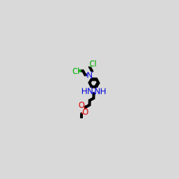 CCOC(=O)CCCC1NC2=CC=C(N(CCCl)CCCl)CC2N1